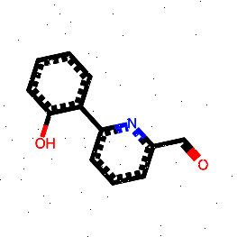 O=Cc1cccc(-c2ccccc2O)n1